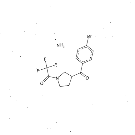 N.O=C(c1ccc(Br)cc1)C1CCN(C(=O)C(F)(F)F)C1